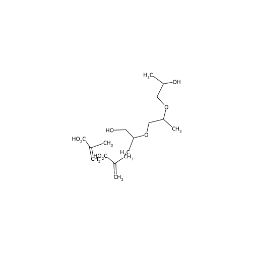 C=C(C)C(=O)O.C=C(C)C(=O)O.CC(O)COC(C)COC(C)CO